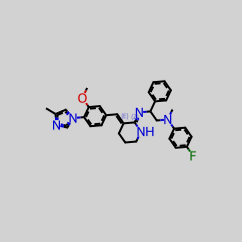 COc1cc(/C=C2\CCCN\C2=N/C(CN(C)c2ccc(F)cc2)c2ccccc2)ccc1-n1cnc(C)c1